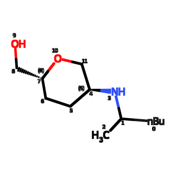 CCCCC(C)N[C@H]1CC[C@H](CO)OC1